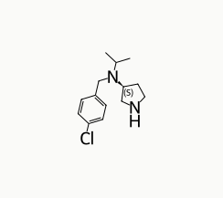 CC(C)N(Cc1ccc(Cl)cc1)[C@H]1CCNC1